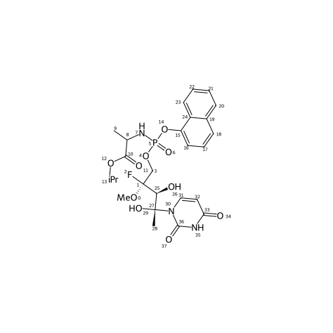 CO[C@](F)(COP(=O)(NC(C)C(=O)OC(C)C)Oc1cccc2ccccc12)[C@@H](O)[C@@](C)(O)n1ccc(=O)[nH]c1=O